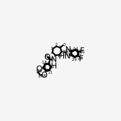 CC1CCCC(NC(=O)c2ccc3c(c2)OCCO3)C[C@@H]1c1nc2cc(F)c(F)cc2[nH]1